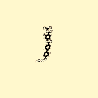 CCCCCCCCOc1ccc(-c2ccc(C(=O)Oc3ccc(C(=O)OC(CC)CC)c(F)c3)cc2)cc1